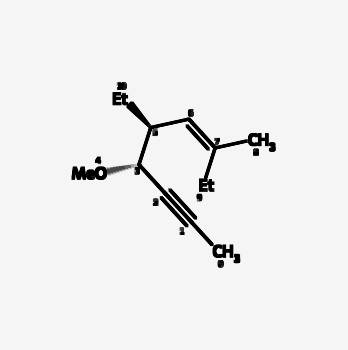 CC#C[C@H](OC)[C@H](/C=C(/C)CC)CC